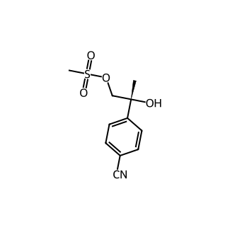 C[C@](O)(COS(C)(=O)=O)c1ccc(C#N)cc1